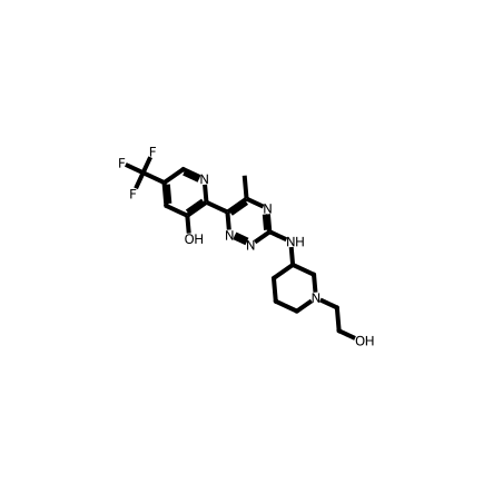 Cc1nc(NC2CCCN(CCO)C2)nnc1-c1ncc(C(F)(F)F)cc1O